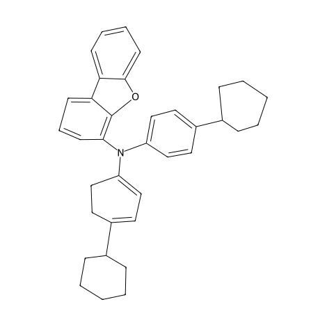 C1=C(C2CCCCC2)CCC(N(c2ccc(C3CCCCC3)cc2)c2cccc3c2oc2ccccc23)=C1